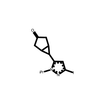 CC(C)n1nc(I)cc1C1C2CC(=O)CC21